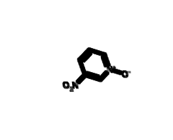 O=[N+]([O-])c1ccc[n+]([O-])c1